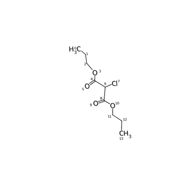 CCCOC(=O)C(Cl)C(=O)OCCC